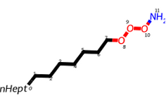 CCCCCCCCCCCCCCOOON